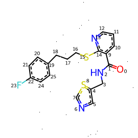 O=C(NCc1cncs1)c1cccnc1SCCCc1ccc(F)cc1